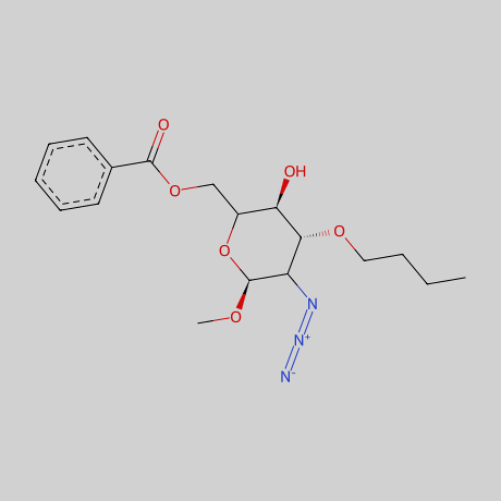 CCCCO[C@@H]1C(N=[N+]=[N-])[C@@H](OC)OC(COC(=O)c2ccccc2)[C@H]1O